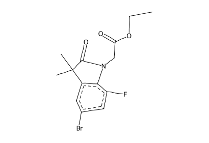 CCOC(=O)CN1C(=O)C(C)(C)c2cc(Br)cc(F)c21